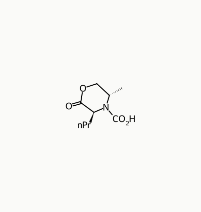 CCC[C@H]1C(=O)OC[C@H](C)N1C(=O)O